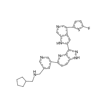 Fc1ccc(-c2cncc3[nH]c(-c4n[nH]c5ccc(-c6cncc(CNCC7CCCC7)c6)nc45)cc23)s1